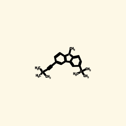 Cn1c2ccc(C#C[Si](C)(C)C)cc2c2cc([Si](C)(C)C)ccc21